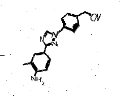 Cc1cc(-c2ncn(-c3ccc(CC#N)cc3)n2)ccc1N